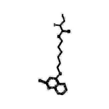 O=C(OCCCCCCOc1cc(=O)oc2ccccc12)C(I)CI